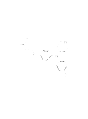 COc1ccc(N(c2ccc(OCOC(F)F)cn2)C2CCNCC2)cc1